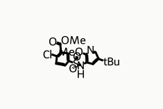 COC(=O)c1cc(S(=O)(=O)Nc2cc(C(C)(C)C)cnc2OC)ccc1Cl